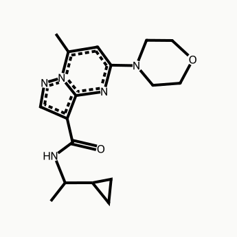 Cc1cc(N2CCOCC2)nc2c(C(=O)NC(C)C3CC3)cnn12